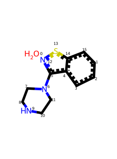 O.c1ccc2c(N3CCNCC3)nsc2c1